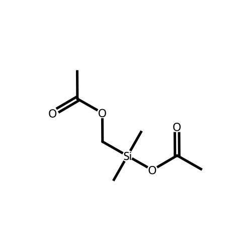 CC(=O)OC[Si](C)(C)OC(C)=O